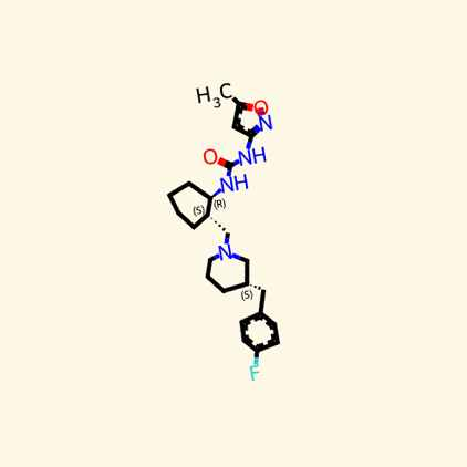 Cc1cc(NC(=O)N[C@@H]2CCCC[C@H]2CN2CCC[C@@H](Cc3ccc(F)cc3)C2)no1